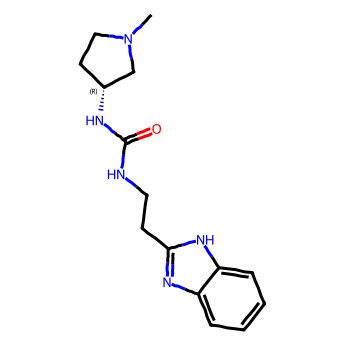 CN1CC[C@@H](NC(=O)NCCc2nc3ccccc3[nH]2)C1